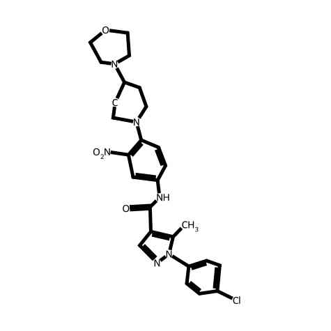 Cc1c(C(=O)Nc2ccc(N3CCC(N4CCOCC4)CC3)c([N+](=O)[O-])c2)cnn1-c1ccc(Cl)cc1